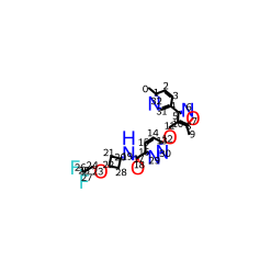 Cc1ccc(-c2noc(C)c2COc2ccc(C(=O)NC3CC(OCC(F)F)C3)nn2)cn1